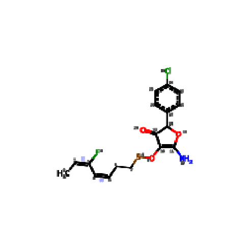 C/C=C(F)\C=C/CCSOC1=C(N)OC(c2ccc(Cl)cc2)C1=O